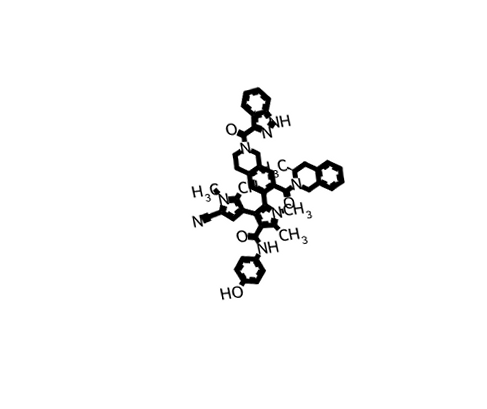 Cc1c(-c2c(C(=O)Nc3ccc(O)cc3)c(C)n(C)c2-c2cc3c(cc2C(=O)N2Cc4ccccc4C[C@H]2C)CN(C(=O)c2n[nH]c4ccccc24)CC3)cc(C#N)n1C